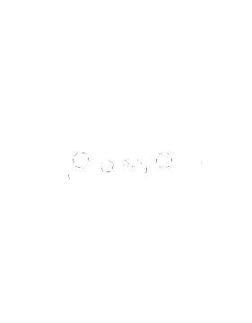 COc1cc(C(=O)N/N=C/c2ccc(-c3cccc(C(=O)O)c3)o2)cc(OC)c1OC